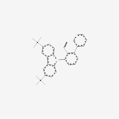 C=Cc1c(-c2cccnc2)cccc1-n1c2ccc(C(C)(C)C)cc2c2cc(C(C)(C)C)ccc21